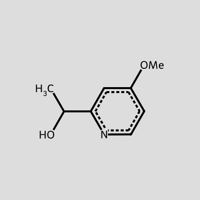 COc1ccnc(C(C)O)c1